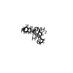 Nc1ccc(-c2ccco2)nc1NC(=O)N1Cc2ccncc2C1